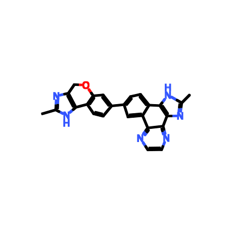 Cc1nc2c([nH]1)-c1ccc(-c3ccc4c(c3)c3nccnc3c3nc(C)[nH]c43)cc1OC2